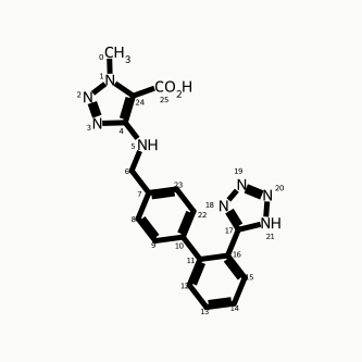 Cn1nnc(NCc2ccc(-c3ccccc3-c3nnn[nH]3)cc2)c1C(=O)O